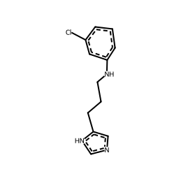 Clc1cccc(NCCCc2cnc[nH]2)c1